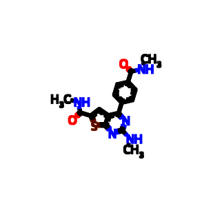 CNC(=O)c1ccc(-c2nc(NC)nc3sc(C(=O)NC)cc23)cc1